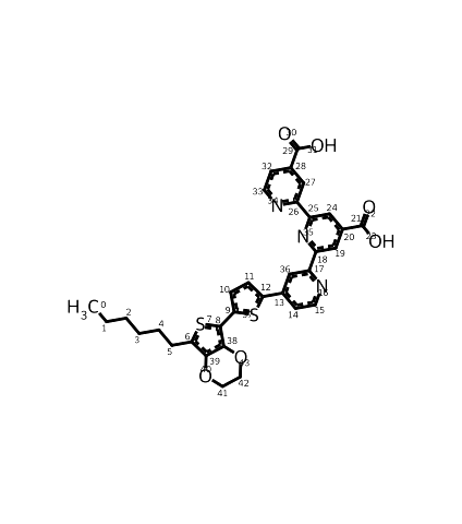 CCCCCCc1sc(-c2ccc(-c3ccnc(-c4cc(C(=O)O)cc(-c5cc(C(=O)O)ccn5)n4)c3)s2)c2c1OCCO2